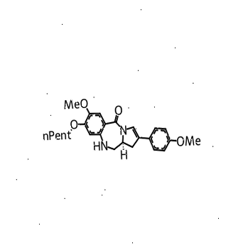 CCCCCOc1cc2c(cc1OC)C(=O)N1C=C(c3ccc(OC)cc3)C[C@H]1CN2